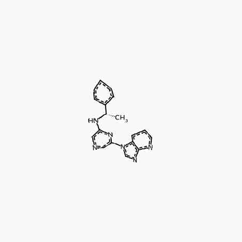 C[C@H](Nc1cncc(-n2cnc3ncccc32)n1)c1ccccc1